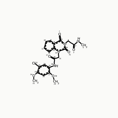 CNC(=O)Cn1c(=O)c2ccccc2n(CC(=O)Nc2cc(Cl)c(OC)cc2OC)c1=O